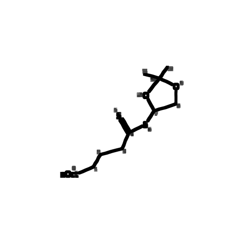 CCCCCCCCCCCC(=S)SC1COC(C)(C)O1